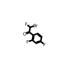 O=C(c1ccc(F)cc1F)C(F)Br